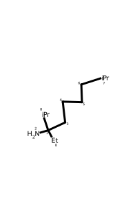 CCC(N)(CCCCC(C)C)C(C)C